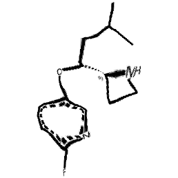 CC(C)CC(Oc1ccc(F)nc1)[C@H]1CCN1